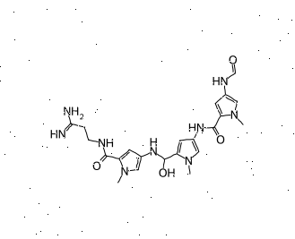 Cn1cc(NC(O)c2cc(NC(=O)c3cc(NC=O)cn3C)cn2C)cc1C(=O)NCCC(=N)N